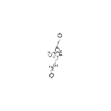 O=C(NCCCCC1NC(=O)C2(CCN(CCCCc3ccccc3)CC2)N(CC2CCCO2)C1=O)OCc1ccccc1